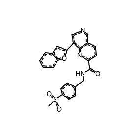 CS(=O)(=O)c1ccc(CNC(=O)c2ccc3cncc(-c4cc5ccccc5o4)c3n2)cc1